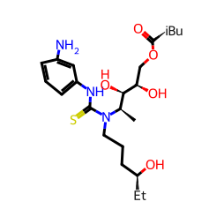 CC[C@H](O)CCCN(C(=S)Nc1cccc(N)c1)[C@H](C)[C@@H](O)[C@H](O)COC(=O)[C@H](C)CC